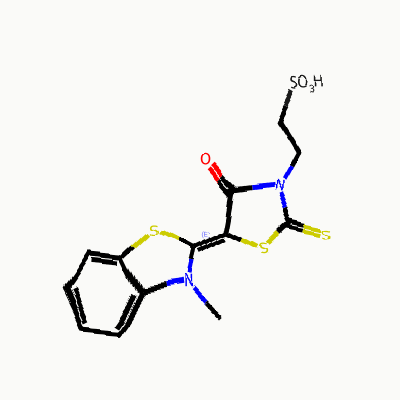 CN1/C(=C2\SC(=S)N(CCS(=O)(=O)O)C2=O)Sc2ccccc21